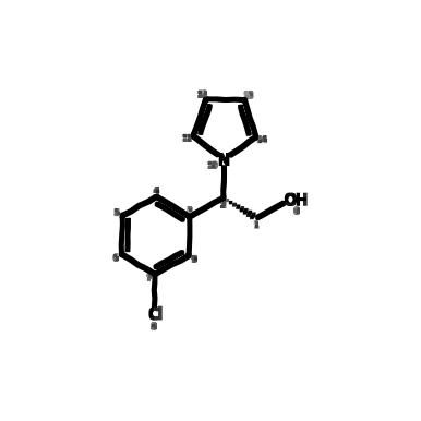 OC[C@H](c1cccc(Cl)c1)n1cccc1